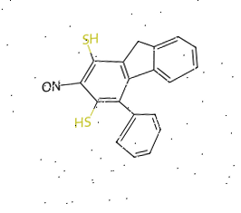 O=Nc1c(S)c2c(c(-c3ccccc3)c1S)-c1ccccc1C2